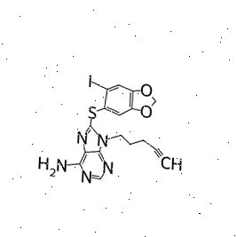 C#CCCCn1c(Sc2cc3c(cc2I)OCO3)nc2c(N)ncnc21